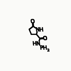 O=C1CCC(C(=O)NP)N1